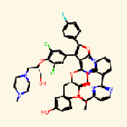 CCOC(=O)[C@@H](Cc1cc(O)ccc1OCc1ccnc(-c2ccccc2OC)n1)Oc1ncnc2oc(-c3ccc(F)cc3)c(-c3cc(Cl)c(O[C@H](CO)CN4CCN(C)CC4)c(Cl)c3)c12